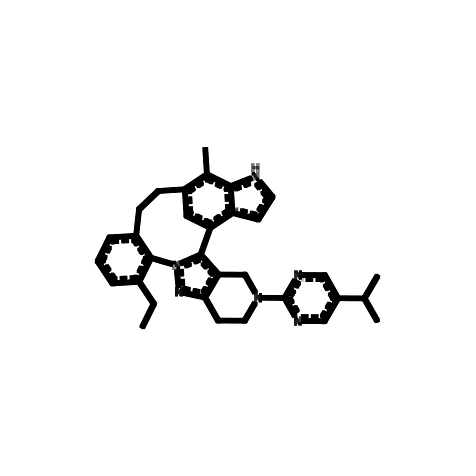 CCc1cccc2c1-n1nc3c(c1-c1cc(c(C)c4[nH]ccc14)CC2)CN(c1ncc(C(C)C)cn1)CC3